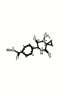 COC(=O)c1ccc(C2NC(=O)C3(CC3)N(C)C2=O)cc1